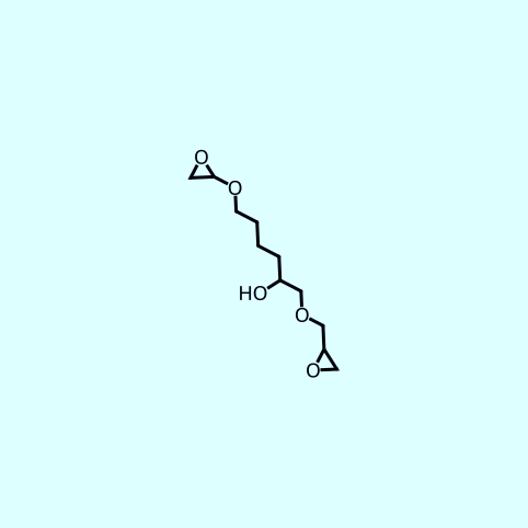 OC(CCCCOC1CO1)COCC1CO1